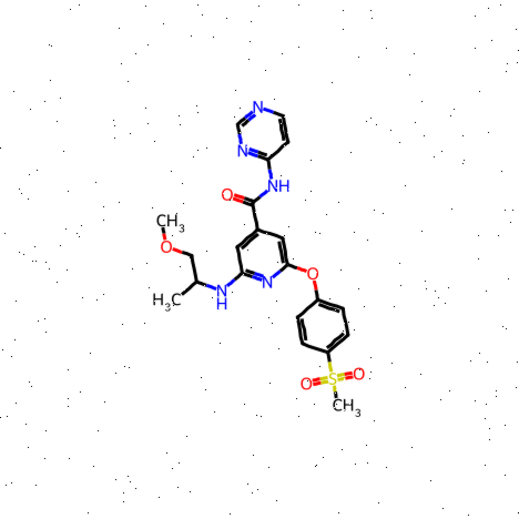 COCC(C)Nc1cc(C(=O)Nc2ccncn2)cc(Oc2ccc(S(C)(=O)=O)cc2)n1